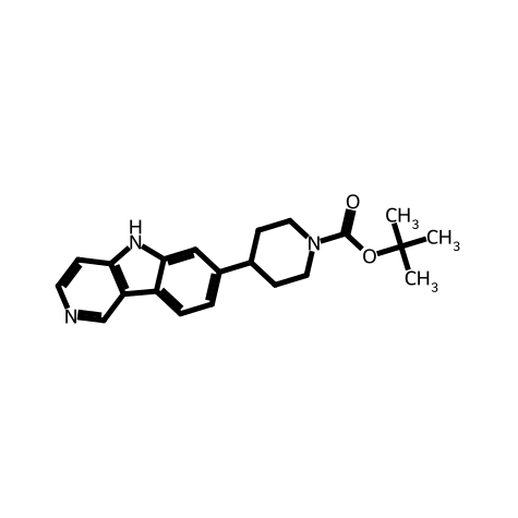 CC(C)(C)OC(=O)N1CCC(c2ccc3c(c2)[nH]c2ccncc23)CC1